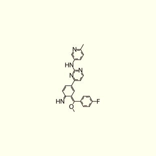 CO/C(=C1/C=C(c2ccnc(Nc3ccc(C)nc3)n2)C=CC1=N)c1ccc(F)cc1